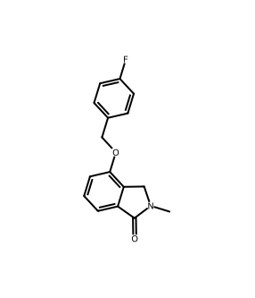 CN1Cc2c(OCc3ccc(F)cc3)cccc2C1=O